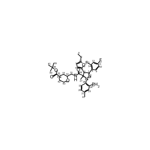 CCc1ccc(C2C(c3ccc(F)cc3F)=NN(c3ccc(C)cc3P)C2(C)C(=O)NCC2CN(C(=O)OC(C)(C)C)CCO2)o1